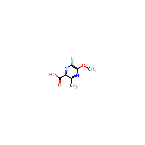 COc1nc(C)c(C(=O)O)nc1Cl